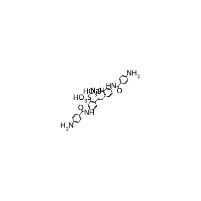 Nc1ccc(C(=O)Nc2ccc(C=Cc3ccc(NC(=O)c4ccc(N)cc4)cc3S(=O)(=O)O)c(S(=O)(=O)O)c2)cc1.[NaH]